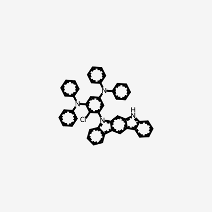 Clc1c(N(c2ccccc2)c2ccccc2)cc(N(c2ccccc2)c2ccccc2)cc1-n1c2ccccc2c2cc3c(cc21)[nH]c1ccccc13